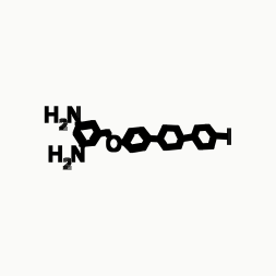 Nc1cc(N)cc(COc2ccc(C3CCC(C4CCC(I)CC4)CC3)cc2)c1